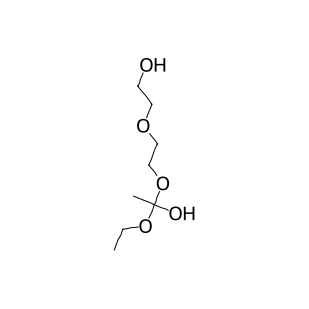 CCOC(C)(O)OCCOCCO